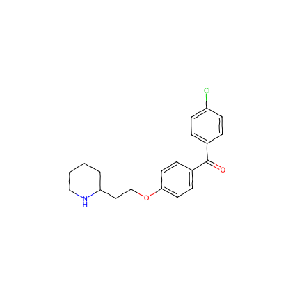 O=C(c1ccc(Cl)cc1)c1ccc(OCCC2CCCCN2)cc1